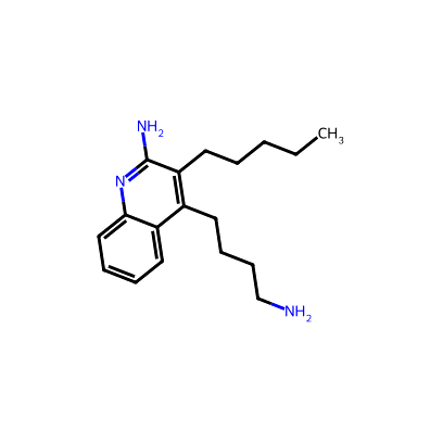 CCCCCc1c(N)nc2ccccc2c1CCCCN